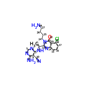 CC(Nc1ncnc(N)c1C#N)c1nc2cccc(Cl)c2c(=O)n1CCCCN